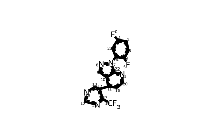 Fc1ccc(F)c(-n2ncc3c(-c4cncnc4C(F)(F)F)ccnc32)c1